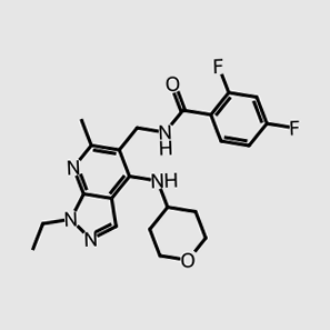 CCn1ncc2c(NC3CCOCC3)c(CNC(=O)c3ccc(F)cc3F)c(C)nc21